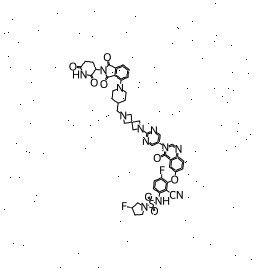 N#Cc1c(NS(=O)(=O)N2CC[C@@H](F)C2)ccc(F)c1Oc1ccc2ncn(-c3cnc(N4CC5(CN(CC6CCN(c7cccc8c7C(=O)N(C7CCC(=O)NC7=O)C8=O)CC6)C5)C4)nc3)c(=O)c2c1